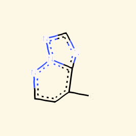 Cc1ccnn2ncnc12